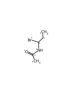 CCC(Br)NC(C)=O